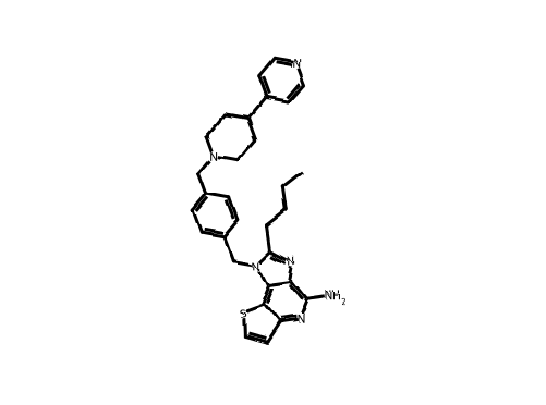 CCCCc1nc2c(N)nc3ccsc3c2n1Cc1ccc(CN2CCC(c3ccncc3)CC2)cc1